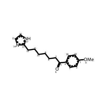 COc1ccc(C(=O)CCCCCCc2ncc[nH]2)cc1